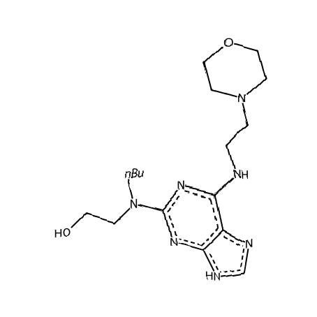 CCCCN(CCO)c1nc(NCCN2CCOCC2)c2nc[nH]c2n1